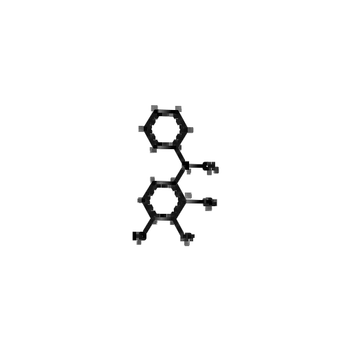 CCCc1c(O)ccc(N(C)c2ccccc2)c1C(C)(C)C